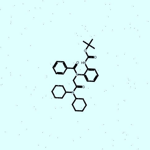 CC(C)(C)OC(=O)Nc1ccccc1N(CC(=O)N(C1CCCCC1)C1CCCCC1)C(=O)c1ccccc1